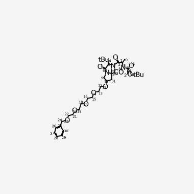 CC(C(=O)NC(C(=O)N1CC(OCCOCCOCCOCCOCc2ccccc2)CC1C(=O)O)C(C)(C)C)N(C)C(=O)OC(C)(C)C